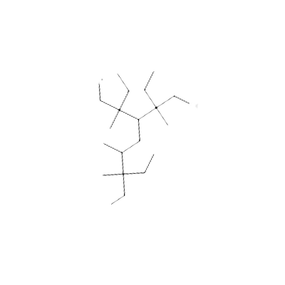 CCC(C)(CO)C(C)CC(C(C)(CC)CO)C(C)(CC)CO